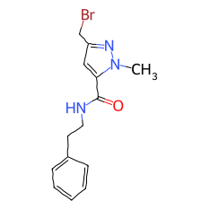 Cn1nc(CBr)cc1C(=O)NCCc1ccccc1